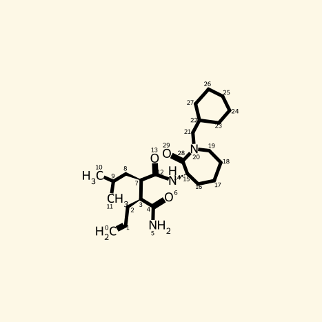 C=CC[C@H](C(N)=O)[C@@H](CC(C)C)C(=O)N[C@H]1CCCCN(CC2CCCCC2)C1=O